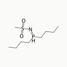 CCCC[PH](CCCC)=NS(C)(=O)=O